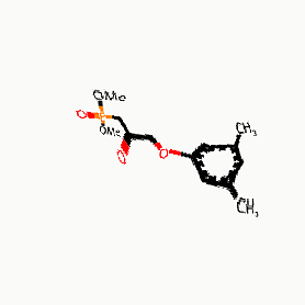 COP(=O)(CC(=O)COc1cc(C)cc(C)c1)OC